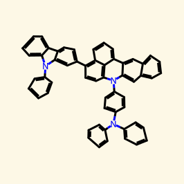 c1ccc(N(c2ccccc2)c2ccc(N3c4cc5ccccc5cc4-c4cccc5c(-c6ccc7c8ccccc8n(-c8ccccc8)c7c6)ccc3c45)cc2)cc1